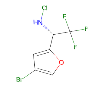 FC(F)(F)[C@@H](NCl)c1cc(Br)co1